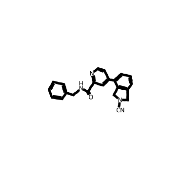 N#CN1Cc2cccc(-c3ccnc(C(=O)NCc4ccccc4)c3)c2C1